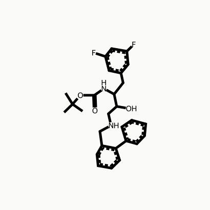 CC(C)(C)OC(=O)NC(Cc1cc(F)cc(F)c1)C(O)CNCc1ccccc1-c1ccccc1